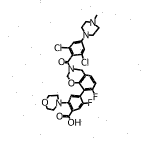 CN1CCN(c2cc(Cl)c(C(=O)N3COc4c(ccc(F)c4-c4cc(N5CCOCC5)c(C(=O)O)cc4F)C3)c(Cl)c2)CC1